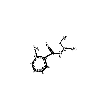 CCO[SiH](C)NC(=O)c1ccccc1C